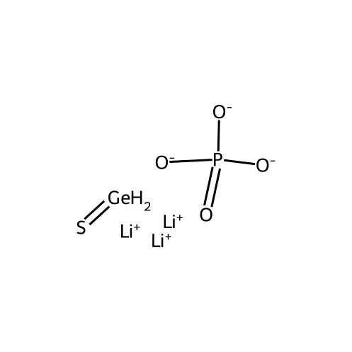 O=P([O-])([O-])[O-].[Li+].[Li+].[Li+].[S]=[GeH2]